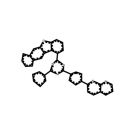 c1ccc(-c2nc(-c3ccc(-c4ccc5cccnc5n4)cc3)nc(-c3cccc4oc5cc6ccccc6cc5c34)n2)cc1